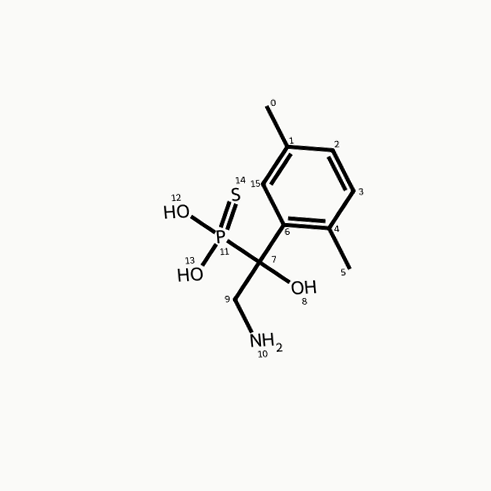 Cc1ccc(C)c(C(O)(CN)P(O)(O)=S)c1